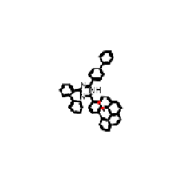 c1ccc(-c2ccc(C3=NC(c4ccccc4-c4ccccc4)=NC(c4ccc(-c5cccc6ccc7ccc8cccnc8c7c56)cc4)N3)cc2)cc1